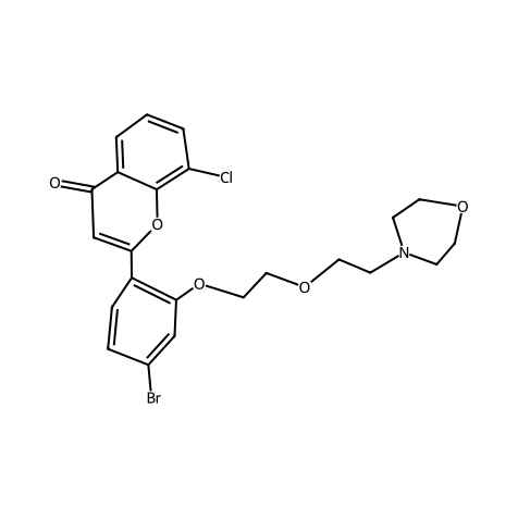 O=c1cc(-c2ccc(Br)cc2OCCOCCN2CCOCC2)oc2c(Cl)cccc12